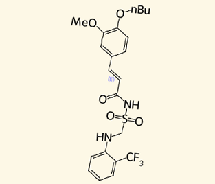 CCCCOc1ccc(/C=C/C(=O)NS(=O)(=O)CNc2ccccc2C(F)(F)F)cc1OC